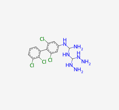 NNC(NN)NC(N)Nc1cc(Cl)c(-c2cccc(Cl)c2Cl)c(Cl)c1